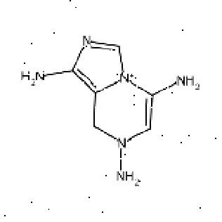 NC1=CN(N)CC2=C(N)N=C[N+]12